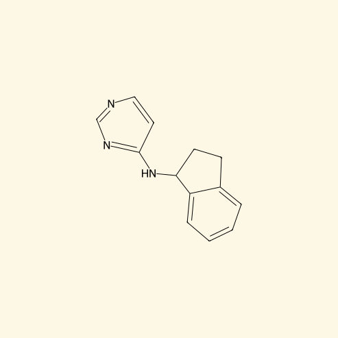 c1ccc2c(c1)CCC2Nc1ccncn1